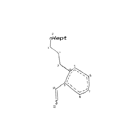 CCCCCCCCCCc1ccccc1C=S